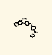 CNc1cc2cccnc2cc1-c1ccc(OC2CCN(C(=O)[C@H]3CCCO3)CC2)cc1